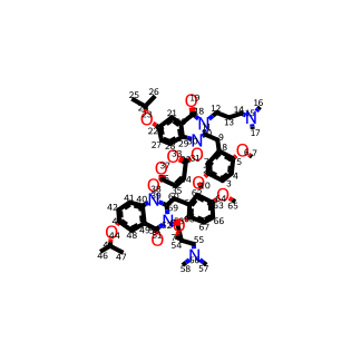 COc1ccc(OC)c(CC2N(CCCN(C)C)C(=O)c3cc(OC(C)C)ccc3N2OC(=O)/C=C\C(=O)ON2c3ccc(OC(C)C)cc3C(=O)N(CCCN(C)C)C2Cc2cc(OC)ccc2OC)c1